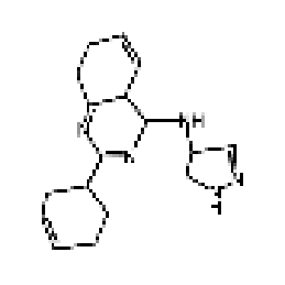 C1=CC2C(=NC(C3CC=CCC3)=NC2NC2C=NNC2)CC1